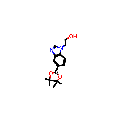 CC1(C)OB(c2ccc3c(c2)ncn3CCO)OC1(C)C